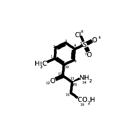 Cc1ccc(S(=O)(=O)Cl)cc1C(=O)[C@@H](N)CC(=O)O